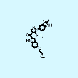 COCCOc1ccc2[nH]c(C(=O)c3cnn(-c4ccc5[nH]c(C)nc5c4)c3N)cc2c1